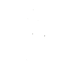 COc1cnc(C(=O)Nc2cc(-c3cncs3)ccc2N)cn1